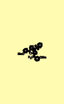 C=C(c1cccc(OC)c1)c1ccc2c(c1)c1c(C(=C)c3cccc(OC)c3)ccnc1n2S(=O)(=O)c1ccccc1